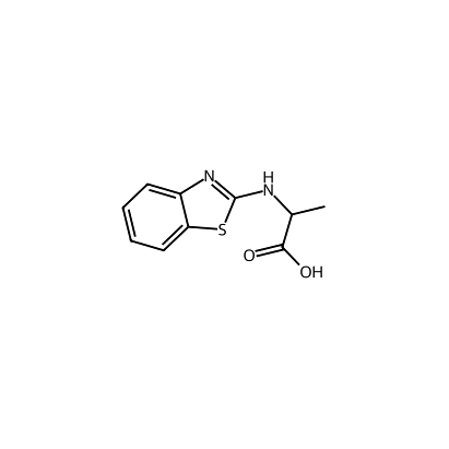 CC(Nc1nc2ccccc2s1)C(=O)O